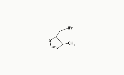 CC(C)CC1SC=CC1C